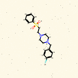 O=S(=O)(CCN1CCN(Cc2ccc(F)cc2)CC1)c1ccccc1